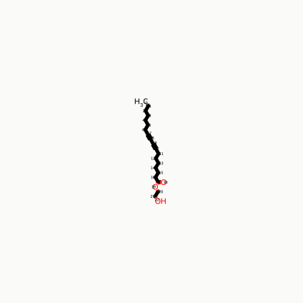 CCCCCCCC#CC#CCCCCCCC(=O)OCCO